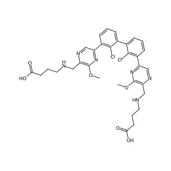 COc1nc(-c2cccc(-c3cccc(-c4cnc(CNCCCC(=O)O)c(OC)n4)c3Cl)c2Cl)cnc1CNCCCC(=O)O